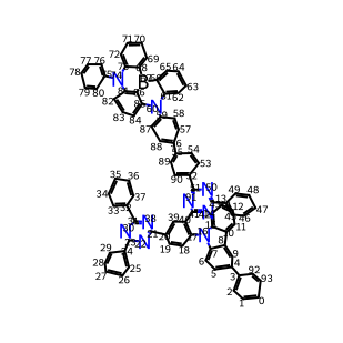 c1ccc(-c2ccc3c(c2)c2ccccc2n3-c2ccc(-c3nc(-c4ccccc4)nc(-c4ccccc4)n3)cc2-c2nc(-c3ccccc3)nc(-c3ccc(-c4ccc(N5c6ccccc6B6c7ccccc7N(c7ccccc7)c7cccc5c76)cc4)cc3)n2)cc1